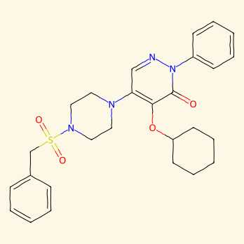 O=c1c(OC2CCCCC2)c(N2CCN(S(=O)(=O)Cc3ccccc3)CC2)cnn1-c1ccccc1